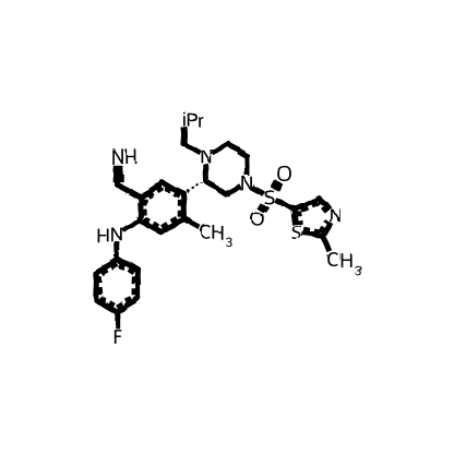 Cc1ncc(S(=O)(=O)N2CCN(CC(C)C)[C@@H](c3cc(C=N)c(Nc4ccc(F)cc4)cc3C)C2)s1